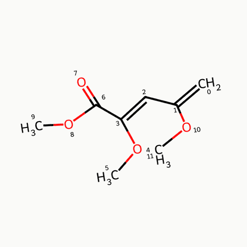 C=C(C=C(OC)C(=O)OC)OC